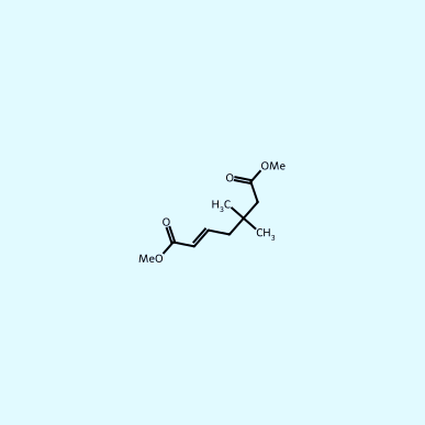 COC(=O)C=CCC(C)(C)CC(=O)OC